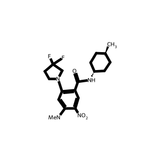 CNc1cc(N2CCC(F)(F)C2)c(C(=O)N[C@H]2CC[C@H](C)CC2)cc1[N+](=O)[O-]